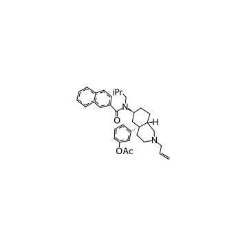 C=CCN1CC[C@@]2(c3cccc(OC(C)=O)c3)C[C@@H](N(CC(C)C)C(=O)c3ccc4ccccc4c3)CC[C@@H]2C1